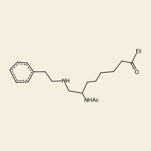 CCC(=O)CCCCCC(CNCCc1ccccc1)NC(C)=O